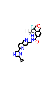 C[C@@]1(F)COCc2ccc(C(=O)NCc3cc4nc(-c5cncc(C6CC6)n5)ccc4cn3)cc21